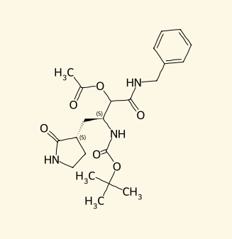 CC(=O)OC(C(=O)NCc1ccccc1)[C@H](C[C@@H]1CCNC1=O)NC(=O)OC(C)(C)C